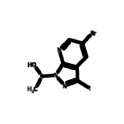 CB(O)n1nc(I)c2cc(Br)cnc21